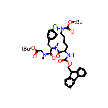 CN(CC(=O)OC(C)(C)C)C(=O)[C@@H](Cc1ccc(Cl)cc1)N(C)C(=O)C(CCCCNC(=O)OC(C)(C)C)NC(=O)OCC1c2ccccc2-c2ccccc21